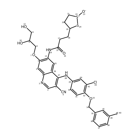 N#Cc1cnc2cc(OCC(O)CO)c(NC(=O)CCC3CC[S+]([O-])S3)cc2c1Nc1ccc(OCc2cccc(F)c2)c(Cl)c1